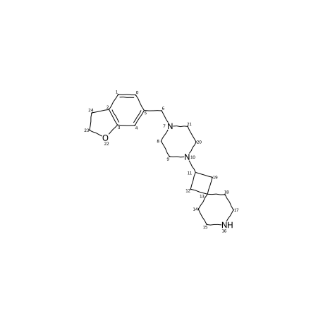 c1cc2c(cc1CN1CCN(C3CC4(CCNCC4)C3)CC1)OCC2